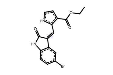 CCOC(=O)c1cc[nH]c1/C=C1\C(=O)Nc2ccc(Br)cc21